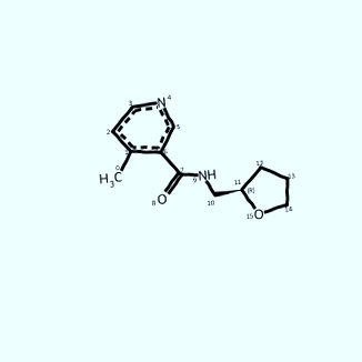 Cc1ccncc1C(=O)NC[C@H]1CCCO1